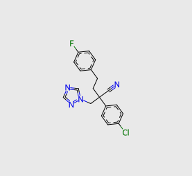 N#CC(CCc1ccc(F)cc1)(Cn1cncn1)c1ccc(Cl)cc1